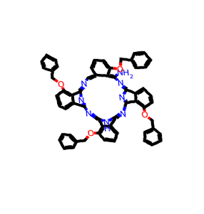 Nc1nc2nc(nc3[nH]c(nc4nc(ncc5cccc(OCc6ccccc6)c15)-c1c(OCc5ccccc5)cccc1-4)c1c(OCc4ccccc4)cccc31)-c1c(OCc3ccccc3)cccc1-2